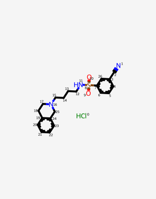 Cl.N#Cc1cccc(S(=O)(=O)NCCCCN2CCc3ccccc3C2)c1